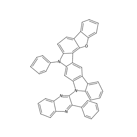 c1ccc(-c2nc3ccccc3nc2-n2c3ccccc3c3cc4c5c6oc7ccccc7c6ccc5n(-c5ccccc5)c4cc32)cc1